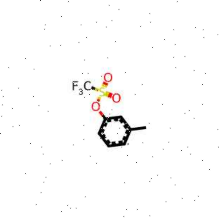 Cc1[c]ccc(OS(=O)(=O)C(F)(F)F)c1